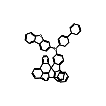 C1=CCC(C2=CC=C(N(c3ccc4c(c3)C3(c5ccccc5-4)c4ccccc4-c4cccc5ccc(-c6ccccc6)c3c45)c3ccc4c(c3)sc3ccccc34)CC2)C=C1